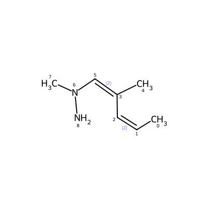 C/C=C\C(C)=C/N(C)N